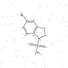 CS(=O)(=O)N1CCc2cc(Br)cnc21